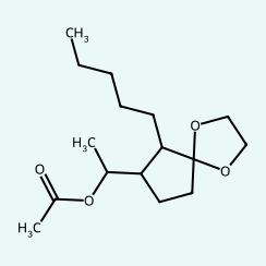 CCCCCC1C(C(C)OC(C)=O)CCC12OCCO2